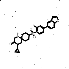 O=C1CNC2(CCC(S(=O)(=O)c3ccc(-c4ccc5occc5c4)cc3F)CC2)CC1C1CC1